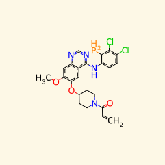 C=CC(=O)N1CCC(Oc2cc3c(Nc4ccc(Cl)c(Cl)c4P)ncnc3cc2OC)CC1